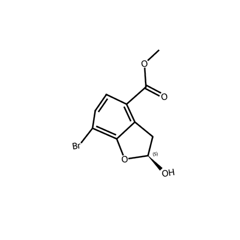 COC(=O)c1ccc(Br)c2c1C[C@@H](O)O2